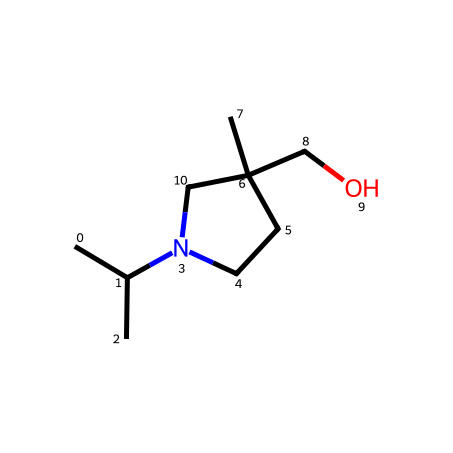 CC(C)N1CCC(C)(CO)C1